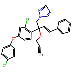 C#CCOC(/C=C/c1ccccc1)(Cn1cncn1)c1ccc(Oc2ccc(Cl)cc2)cc1Cl